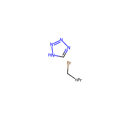 CCCCBr.c1nnn[nH]1